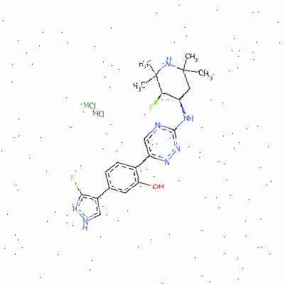 CC1(C)C[C@@H](Nc2ncc(-c3ccc(-c4c[nH]nc4F)cc3O)nn2)[C@@H](F)C(C)(C)N1.Cl.Cl